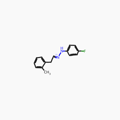 Cc1ccccc1C/C=N/Nc1ccc(F)cc1